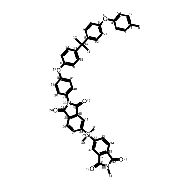 Cc1ccc(Oc2ccc(C(C)(C)c3ccc(Oc4ccc(N5C(=O)c6ccc([Si](C)(C)c7ccc8c(c7)C(=O)N(C)C8=O)cc6C5=O)cc4)cc3)cc2)cc1